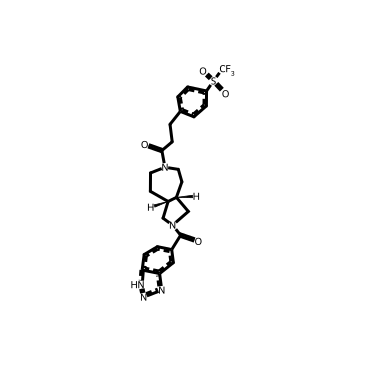 O=C(CCc1ccc(S(=O)(=O)C(F)(F)F)cc1)N1CC[C@@H]2CN(C(=O)c3ccc4[nH]nnc4c3)C[C@@H]2CC1